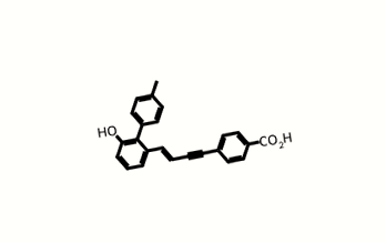 Cc1ccc(-c2c(O)cccc2/C=C/C#Cc2ccc(C(=O)O)cc2)cc1